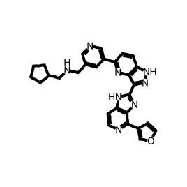 c1cc2[nH]c(-c3n[nH]c4ccc(-c5cncc(CNCC6CCCC6)c5)nc34)nc2c(-c2ccoc2)n1